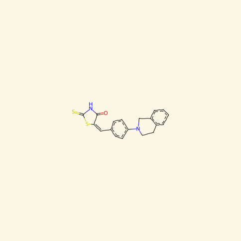 O=C1NC(=S)SC1=Cc1ccc(N2CCc3ccccc3C2)cc1